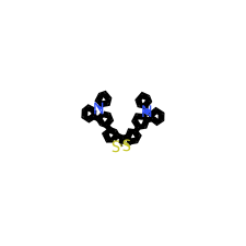 c1ccc(-n2c3ccccc3c3cc(-c4ccc5sc6sc7ccc(-c8ccc9c(c8)c8ccccc8n9-c8ccccc8)cc7c6c5c4)ccc32)cc1